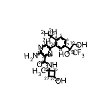 [2H]C([2H])([2H])c1ccc([C@](O)(CO)C(F)(F)F)cc1-c1cnc(N)c(C(=O)NC2(C)CC(O)C2)n1